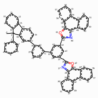 CC1(c2ccccc2)c2ccccc2-c2ccc(-c3cccc(-c4cc(-c5nc6c7ccccc7c7ccccc7c6o5)cc(-c5nc6c7ccccc7c7ccccc7c6o5)c4)c3)cc21